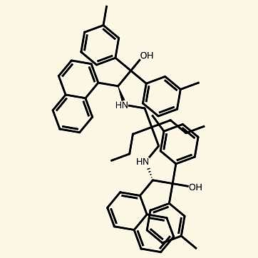 CCCC(CCC)(CN[C@@H](c1cccc2ccccc12)C(O)(c1cccc(C)c1)c1cccc(C)c1)CN[C@@H](c1cccc2ccccc12)C(O)(c1cccc(C)c1)c1cccc(C)c1